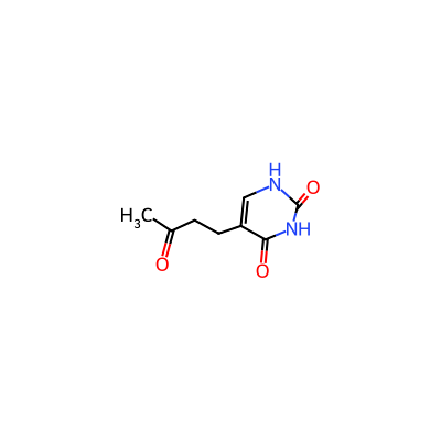 CC(=O)CCc1c[nH]c(=O)[nH]c1=O